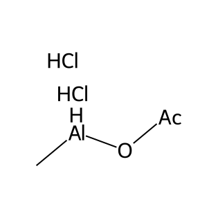 Cl.Cl.[CH3][AlH][O]C(C)=O